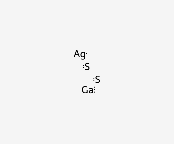 [Ag].[Ga].[S].[S]